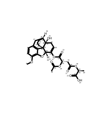 COc1ccc2c3c1O[C@H]1C(OC(=O)[C@H](CC(=O)O[C@@H](C)C(=O)O)OC(C)=O)=CC[C@@]4(O)[C@H](CCC[C@]314)C2